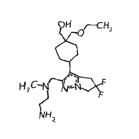 CCOCC1(CO)CCC(c2c(CN(C)CCN)nn3c2CC(F)(F)C3)CC1